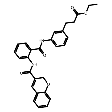 CCOC(=O)CCc1cccc(NC(=O)c2ccccc2NC(=O)C2=Cc3ccccc3OC2)c1